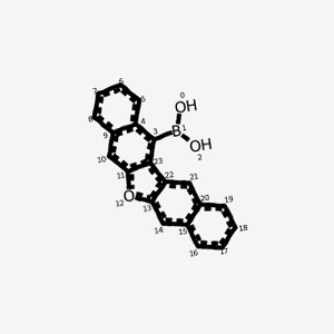 OB(O)c1c2ccccc2cc2oc3cc4ccccc4cc3c12